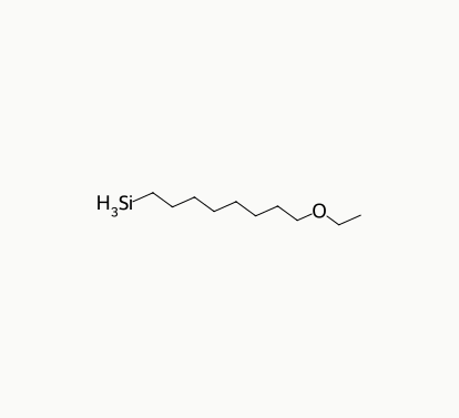 CCOCCCCCCCC[SiH3]